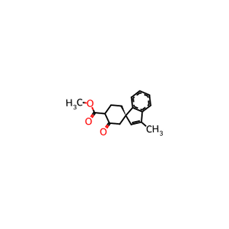 COC(=O)C1CC[C@@]2(C=C(C)c3ccccc32)CC1=O